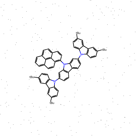 CC(C)(C)c1ccc2c(c1)c1cc(C(C)(C)C)ccc1n2-c1ccc2c3ccc(-n4c5ccc(C(C)(C)C)cc5c5cc(C(C)(C)C)ccc54)cc3n(-c3ccc4ccc5cccc6ccc3c4c56)c2c1